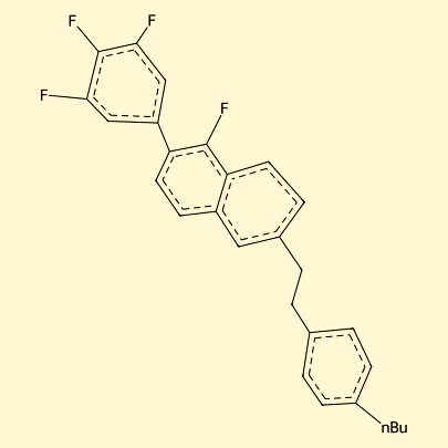 CCCCc1ccc(CCc2ccc3c(F)c(-c4cc(F)c(F)c(F)c4)ccc3c2)cc1